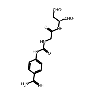 N=C(N)c1ccc(NC(=O)NCC(=O)N[C@H]([C]=O)C[C]=O)cc1